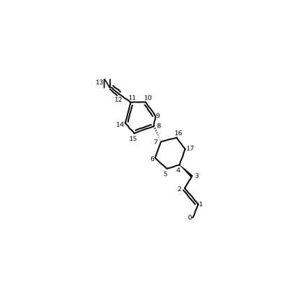 CC=CC[C@H]1CC[C@H](c2ccc(C#N)cc2)CC1